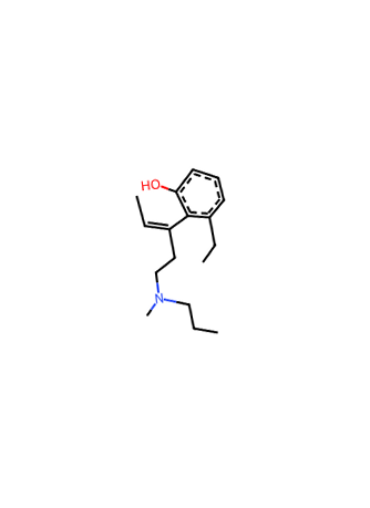 C/C=C(/CCN(C)CCC)c1c(O)cccc1CC